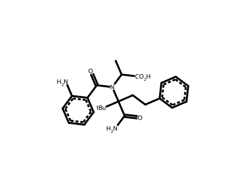 CC(C(=O)O)N(C(=O)c1ccccc1N)C(CCc1ccccc1)(C(N)=O)C(C)(C)C